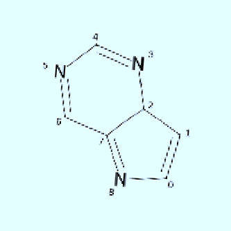 C1=CC2N=CN=CC2=N1